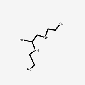 N#CCCNCC(C#N)NCCC#N